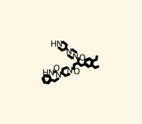 CCc1ccc(CC(CC(=O)N2CCC(N3CCc4ccccc4NC3=O)CC2)C(=O)N2CCN(C3CCNCC3)CC2)cc1CC